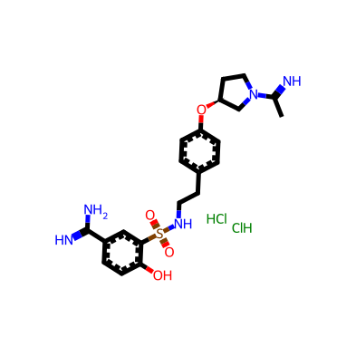 CC(=N)N1CC[C@H](Oc2ccc(CCNS(=O)(=O)c3cc(C(=N)N)ccc3O)cc2)C1.Cl.Cl